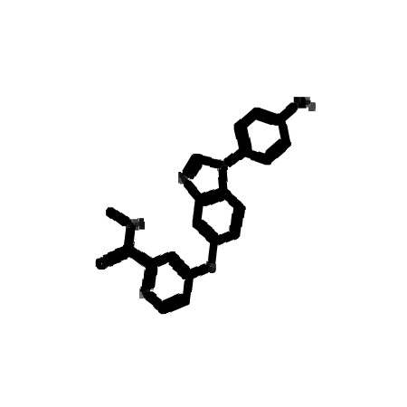 CNC(=O)c1cc(Oc2ccc3c(c2)ncn3-c2ccc(N)cc2)ccn1